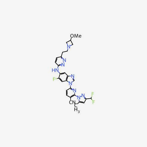 COC1CN(CCc2ccc(Nc3cc4ncn(-c5ccc(C#N)c(-n6nc(C(F)F)cc6C)n5)c4cc3F)nn2)C1